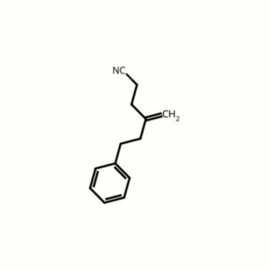 C=C(CCC#N)CCc1ccccc1